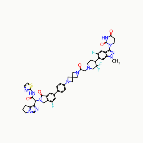 Cn1nc(N2CCC(=O)NC2=O)c2cc(F)c(C3CCN(CC(=O)N4CC5(C4)CN(c4ccc(-c6cc(F)c7c(c6)C(=O)N(C(C(=O)Nc6nccs6)c6ncn8c6CCC8)C7)cc4)C5)CC3(F)F)cc21